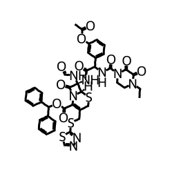 CCN1CCN(C(=O)NC(C(=O)N[C@]2(NC=O)C(=O)N3C(C(=O)OC(c4ccccc4)c4ccccc4)=C(CSc4nncs4)CS[C@H]32)c2cccc(OC(C)=O)c2)C(=O)C1=O